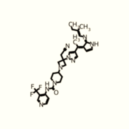 CC/C(C)=C/N=C1/NC=C/C1=C(/C)c1cnn(C2(CC#N)CN(C3CCN(C(=O)Nc4ccncc4C(F)(F)F)CC3)C2)c1